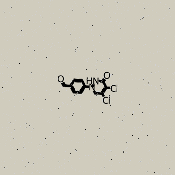 O=Cc1ccc(N2CC(Cl)=C(Cl)C(=O)N2)cc1